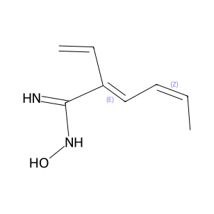 C=C/C(=C\C=C/C)C(=N)NO